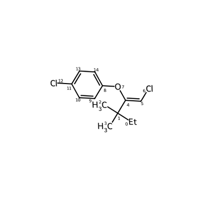 CCC(C)(C)/C(=C/Cl)Oc1ccc(Cl)cc1